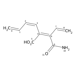 C=C/C=C\C(C(=O)O)=C(/C=C)C(N)=O